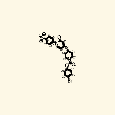 CS(=O)(=O)c1ccc(-n2ccc(OC3CCN(C(=O)Oc4ccc(Br)cc4)CC3)cc2=O)cc1